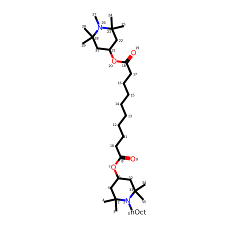 CCCCCCCCN1C(C)(C)CC(OC(=O)CCCCCCCCC(=O)OC2CC(C)(C)N(C)C(C)(C)C2)CC1(C)C